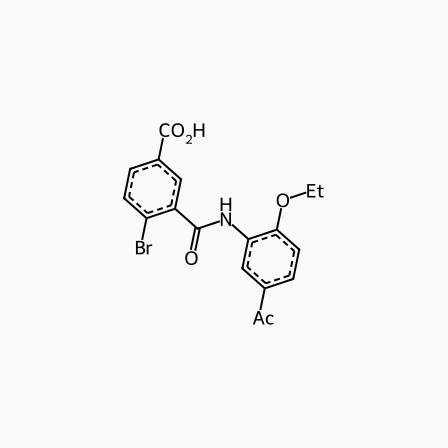 CCOc1ccc(C(C)=O)cc1NC(=O)c1cc(C(=O)O)ccc1Br